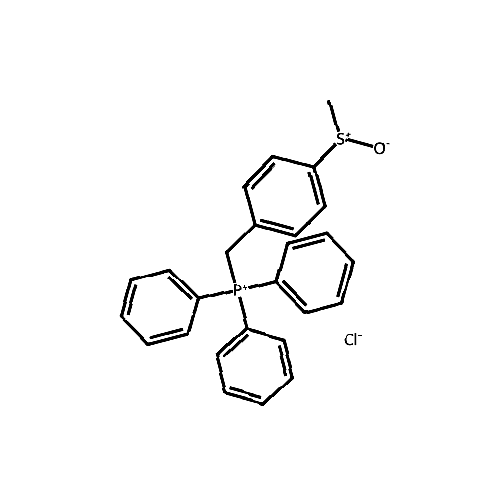 C[S+]([O-])c1ccc(C[P+](c2ccccc2)(c2ccccc2)c2ccccc2)cc1.[Cl-]